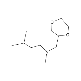 CC(C)CCN(C)CC1COCCO1